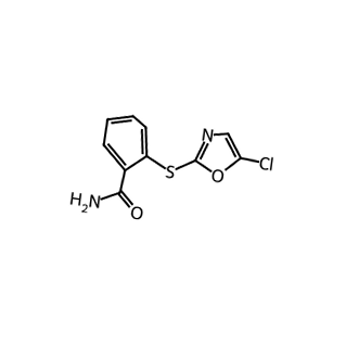 NC(=O)c1ccccc1Sc1ncc(Cl)o1